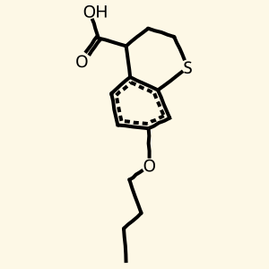 CCCCOc1ccc2c(c1)SCCC2C(=O)O